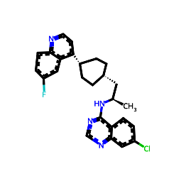 C[C@H](C[C@H]1CC[C@@H](c2ccnc3ccc(F)cc32)CC1)Nc1ncnc2cc(Cl)ccc12